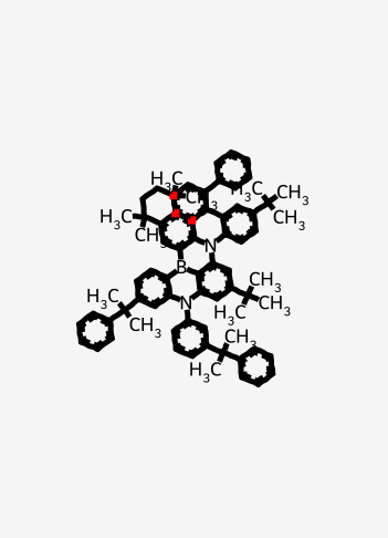 CC(C)(C)c1ccc(N2c3cc4c(cc3B3c5ccc(C(C)(C)c6ccccc6)cc5N(c5cccc(C(C)(C)c6ccccc6)c5)c5cc(C(C)(C)C)cc2c53)C(C)(C)CCC4(C)C)c(-c2ccccc2-c2ccccc2)c1